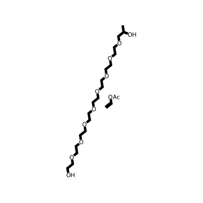 C=COC(C)=O.CC(O)COCCOCCOCCOCCOCCOCCOCCOCCO